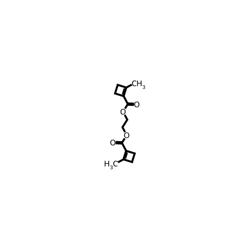 CC1=C(C(=O)OCCOC(=O)C2=C(C)CC2)CC1